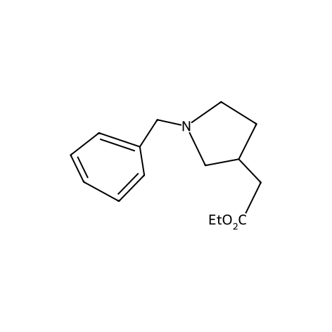 CCOC(=O)CC1CCN(Cc2ccccc2)C1